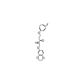 O=C(CCOC1=CCC=C(F)C=C1)NCOc1ccc2c(c1)OCCO2